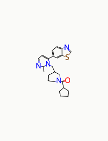 CC1N=CC=C(c2ccc3ncsc3c2)N1CC1CCCN(C(=O)C2CCCC2)C1